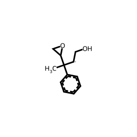 CC([CH]CO)(c1ccccc1)C1CO1